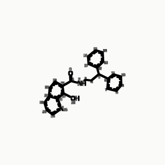 O=C(NCCC(c1ccccc1)c1ccccc1)c1ccc2cccnc2c1O